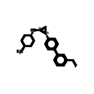 N[C@H]1CC[C@H](N[C@H]2C[C@@H]2c2ccc(-c3cccc(CF)c3)cc2)CC1